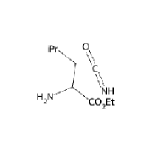 CCOC(=O)C(N)CC(C)C.N=C=O